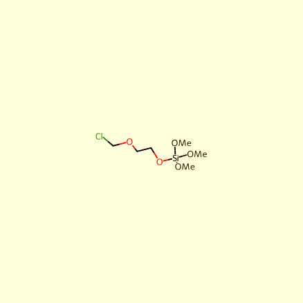 CO[Si](OC)(OC)OCCOCCl